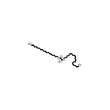 CCC=CCC=CCC=CCC=CCC=CCCCCOC(=O)C(CC)OCCCC/C=C\C/C=C\C/C=C\C/C=C\C/C=C\CC